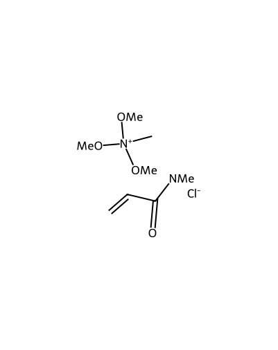 C=CC(=O)NC.CO[N+](C)(OC)OC.[Cl-]